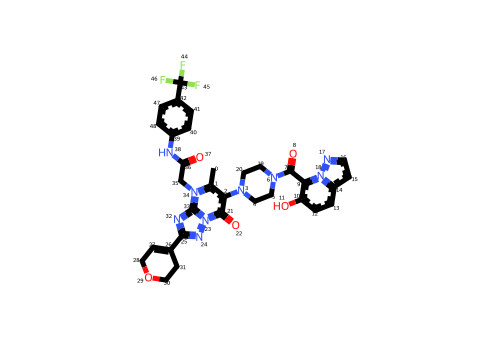 Cc1c(N2CCN(C(=O)c3c(O)ccc4ccnn34)CC2)c(=O)n2nc(C3=CCOCC3)nc2n1CC(=O)Nc1ccc(C(F)(F)F)cc1